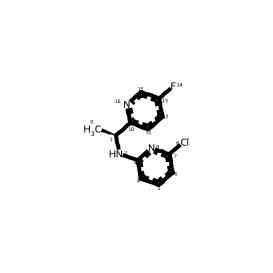 C[C@H](Nc1cccc(Cl)n1)c1ccc(F)cn1